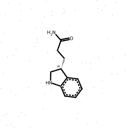 NC(=O)[CH]C[C@H]1CNc2ccccc21